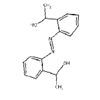 CC(O)c1ccccc1/N=N/c1ccccc1C(C)O